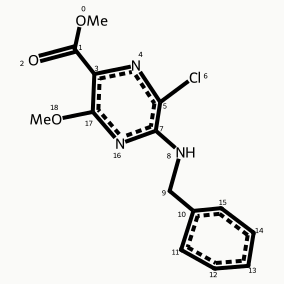 COC(=O)c1nc(Cl)c(NCc2ccccc2)nc1OC